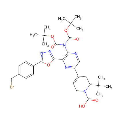 CC(C)(C)OC(=O)N(C(=O)OC(C)(C)C)c1ncc(C2=CCN(C(=O)O)C(C(C)(C)C)C2)nc1-c1nnc(-c2ccc(CBr)cc2)o1